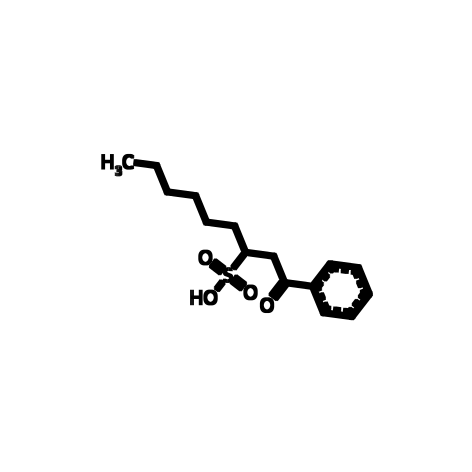 CCCCCCC(CC(=O)c1ccccc1)S(=O)(=O)O